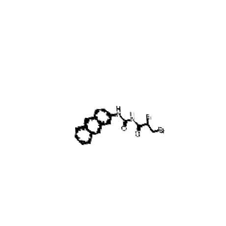 O=C(NC(=O)C(Br)CBr)Nc1ccc2cc3ccccc3cc2c1